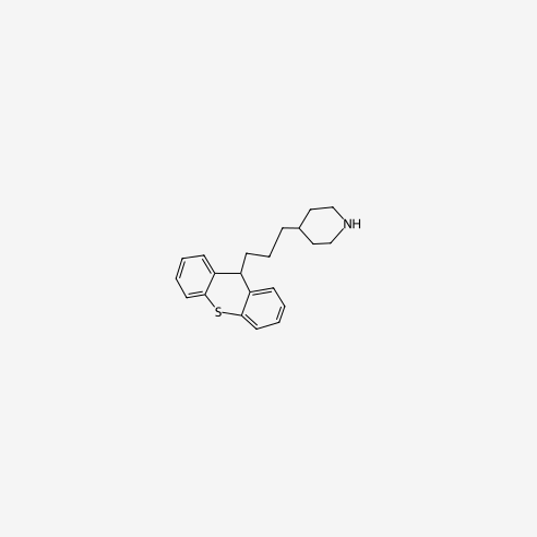 c1ccc2c(c1)Sc1ccccc1C2CCCC1CCNCC1